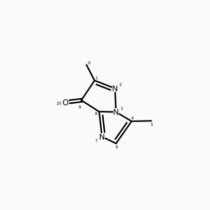 CC1=Nn2c(C)cnc2C1=O